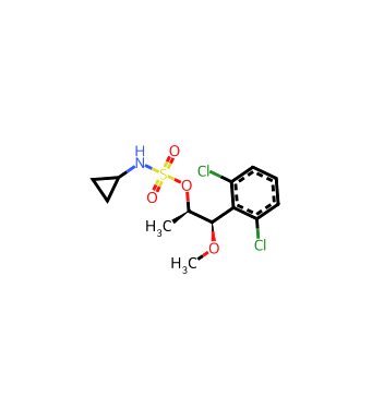 CO[C@H](c1c(Cl)cccc1Cl)[C@@H](C)OS(=O)(=O)NC1CC1